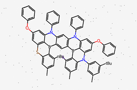 CCCCc1cc(C)cc2c1B1c3cc4c(cc3N(c3ccccc3)c3cc(Oc5ccccc5)cc(c31)S2)N(c1ccccc1)c1cc(Oc2ccccc2)cc2c1B4c1c(I)cc(C)cc1N2c1cc(C)cc(C(C)(C)C)c1